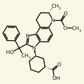 COC(=O)N1c2ccc3c(nc(C(C)(O)c4ccccc4)n3[C@@H]3CCC[C@@H](C(=O)O)C3)c2CC[C@@H]1C